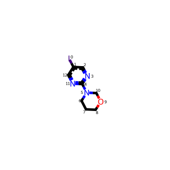 Ic1cnc(N2CCCOC2)nc1